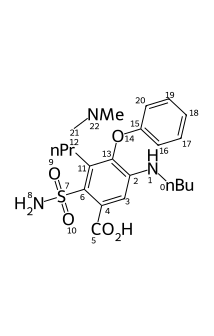 CCCCNc1cc(C(=O)O)c(S(N)(=O)=O)c(CCC)c1Oc1ccccc1.CNC